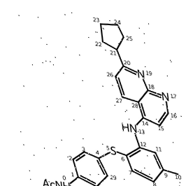 CC(=O)Nc1ccc(Sc2ccc(C)cc2Nc2ccnc3nc(C4CCCC4)ccc23)cc1